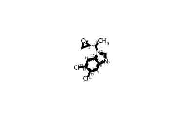 CC([C@@H]1CO1)n1cnc2cc(Cl)c(Cl)cc21